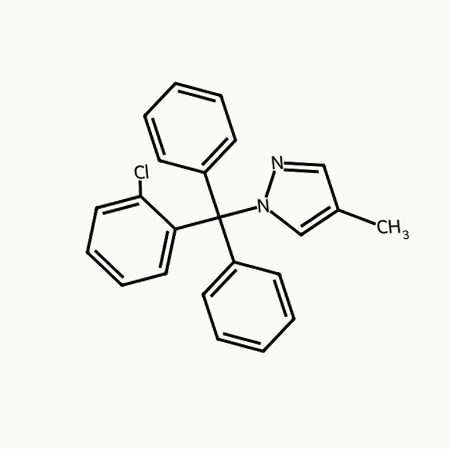 Cc1cnn(C(c2ccccc2)(c2ccccc2)c2ccccc2Cl)c1